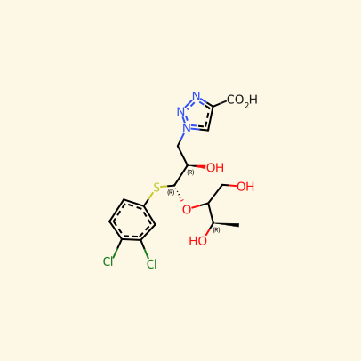 C[C@@H](O)C(CO)O[C@H](Sc1ccc(Cl)c(Cl)c1)[C@H](O)Cn1cc(C(=O)O)nn1